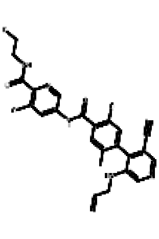 C#Cc1cncc(NCC=C)c1-c1cc(Cl)c(C(=O)Nc2cnc(C(=O)NCCF)c(Cl)c2)cc1C